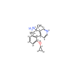 CC(C)(N)c1cnccc1-c1ccccc1OC1CC1